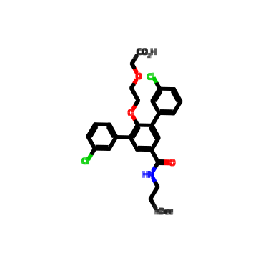 CCCCCCCCCCCCNC(=O)c1cc(-c2cccc(Cl)c2)c(OCCOCC(=O)O)c(-c2cccc(Cl)c2)c1